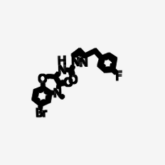 CN1C(=O)C(NC(=O)n2ccc(Cc3ccc(F)cc3)n2)COc2ccc(Br)cc21